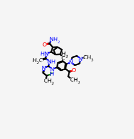 C=C(NC(/N=C\C(C)F)Nc1ccc(N2CCN(C)CC2)c(C(=O)CC)c1)NC1C2CC(CC2C)C1C(N)=O